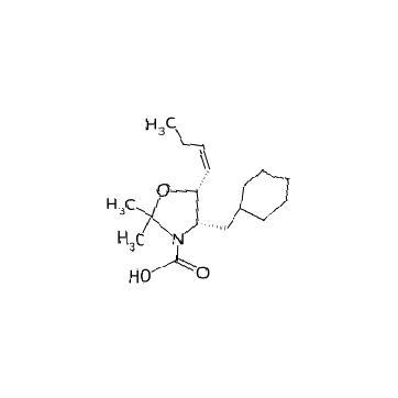 CC/C=C\[C@H]1OC(C)(C)N(C(=O)O)[C@H]1CC1CCCCC1